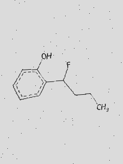 CCCC(F)c1ccccc1O